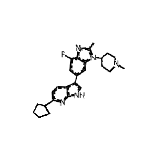 Cc1nc2c(F)cc(-c3c[nH]c4nc(C5CCCC5)ccc34)cc2n1C1CCN(C)CC1